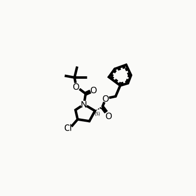 CC(C)(C)OC(=O)N1CC(Cl)C[C@H]1C(=O)OCc1ccccc1